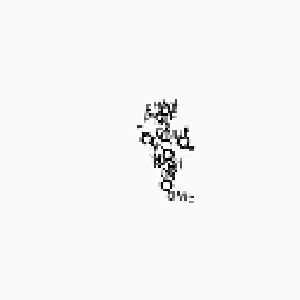 COc1ccc(CN(c2nn(C)c3c(-n4c(C(Cc5cc(F)cc(F)c5)NC(=O)Cn5nc(C(F)F)c6c5C(F)(F)[C@@H]5C[C@H]65)nc5cc(F)ccc5c4=O)ccc(Cl)c23)S(C)(=O)=O)cc1